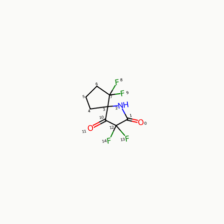 O=C1NC2(CCCC2(F)F)C(=O)C1(F)F